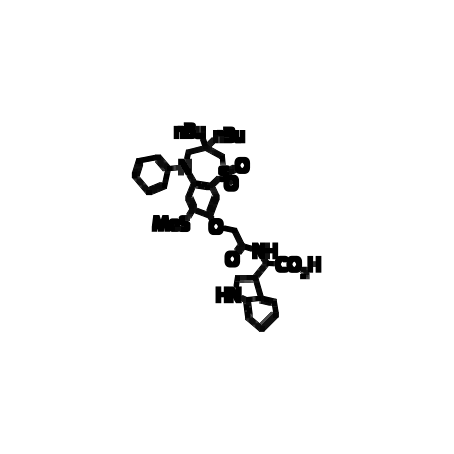 CCCCC1(CCCC)CN(c2ccccc2)c2cc(SC)c(OCC(=O)NC(C(=O)O)c3c[nH]c4ccccc34)cc2S(=O)(=O)C1